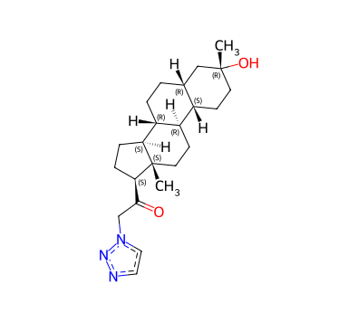 C[C@@]1(O)CC[C@H]2[C@H](CC[C@@H]3[C@@H]2CC[C@]2(C)[C@@H](C(=O)Cn4ccnn4)CC[C@@H]32)C1